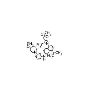 CO[C@H]1CCN(c2nccc(Nc3cc4c(C(C)C)ccc(N5C[C@H](CS(C)(=O)=O)[C@H]5C)c4cn3)n2)C[C@@H](F)C1